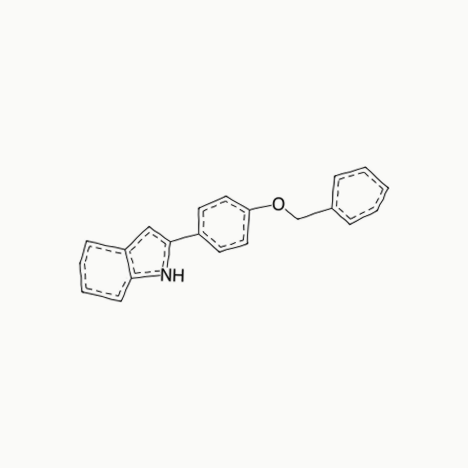 c1ccc(COc2ccc(-c3cc4ccccc4[nH]3)cc2)cc1